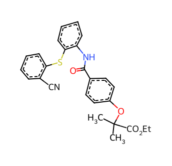 CCOC(=O)C(C)(C)Oc1ccc(C(=O)Nc2ccccc2Sc2ccccc2C#N)cc1